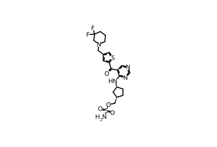 NS(=O)(=O)OC[C@@H]1CC[C@H](Nc2ncncc2C(=O)c2cc(CN3CCCC(F)(F)C3)cs2)C1